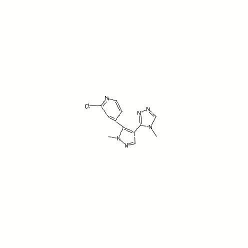 Cn1cnnc1-c1cnn(C)c1-c1ccnc(Cl)c1